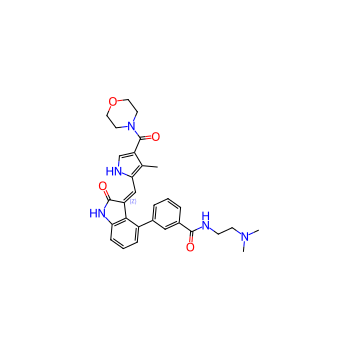 Cc1c(C(=O)N2CCOCC2)c[nH]c1/C=C1\C(=O)Nc2cccc(-c3cccc(C(=O)NCCN(C)C)c3)c21